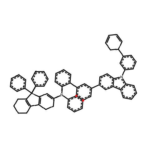 C1=CCC(c2cccc(-n3c4ccccc4c4cc(-c5cccc(-c6ccccc6N(C6=CC7=C(CC6)C6=C(CCCC6)C7(c6ccccc6)c6ccccc6)c6ccccc6)c5)ccc43)c2)C=C1